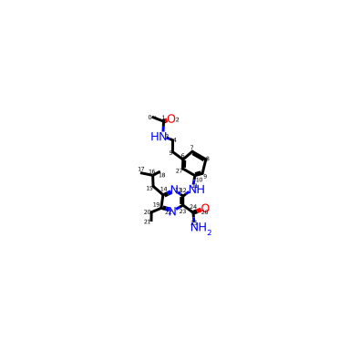 [CH2]C(=O)NCCc1cccc(Nc2nc(CC(C)C)c(CC)nc2C(N)=O)c1